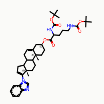 CC(C)(C)OC(=O)NCCCC(NC(=O)OC(C)(C)C)C(=O)O[C@H]1CC[C@@]2(C)C(=CCC3C2CC[C@]2(C)C(n4cnc5ccccc54)=CCC32)C1